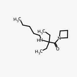 CCCCCNC(CC)(CC)C(=O)N1CCC1